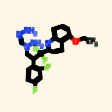 N/N=C\N(N)CC(c1ccc(F)cc1F)C(F)(F)c1ccc2c(OCC(F)(F)F)cccc2n1